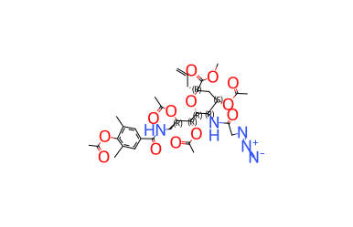 C=CC[C@]1(C(=O)OC)C[C@H](OC(C)=O)[C@@H](NC(=O)CN=[N+]=[N-])[C@H]([C@H](OC(C)=O)[C@@H](CNC(=O)c2cc(C)c(OC(C)=O)c(C)c2)OC(C)=O)O1